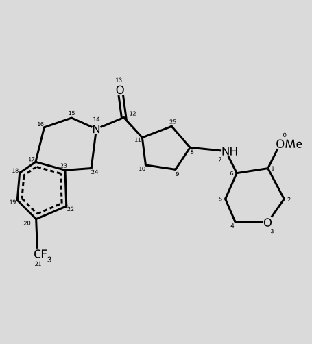 COC1COCCC1NC1CCC(C(=O)N2CCc3ccc(C(F)(F)F)cc3C2)C1